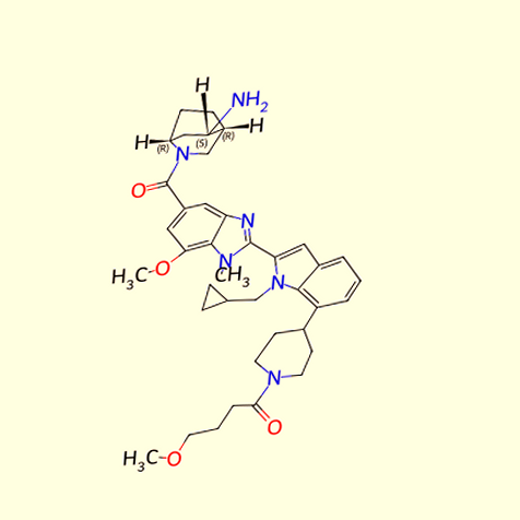 COCCCC(=O)N1CCC(c2cccc3cc(-c4nc5cc(C(=O)N6C[C@H]7CC[C@@H]6C[C@@H]7N)cc(OC)c5n4C)n(CC4CC4)c23)CC1